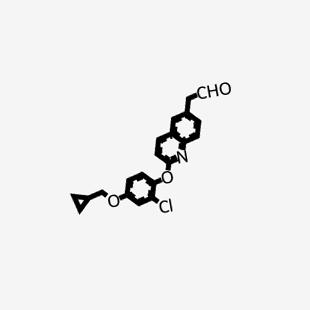 O=CCc1ccc2nc(Oc3ccc(OCC4CC4)cc3Cl)ccc2c1